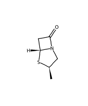 C[C@@H]1CN2C(=O)C[C@H]2S1